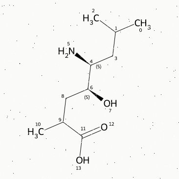 CC(C)C[C@H](N)[C@@H](O)CC(C)C(=O)O